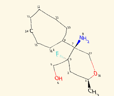 C[C@H]1C[C@@](F)(CO)[C@](N)(C2CCCCCCC2)CO1